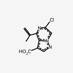 C=C(C)c1nc(Cl)cn2ncc(C(=O)O)c12